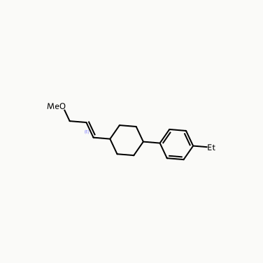 CCc1ccc(C2CCC(/C=C/COC)CC2)cc1